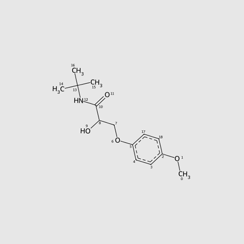 COc1ccc(OCC(O)C(=O)NC(C)(C)C)cc1